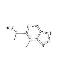 Cc1c(C(C)C(=O)O)ccc2scnc12